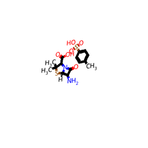 CC1(C)S[C@H]2C(N)C(=O)N2C1C(=O)O.Cc1ccc(S(=O)(=O)O)cc1